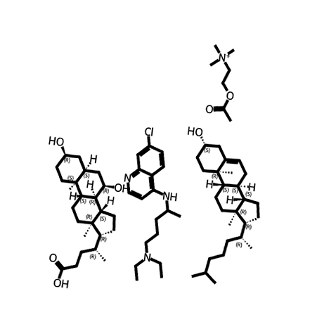 CC(=O)OCC[N+](C)(C)C.CC(C)CCC[C@@H](C)[C@H]1CC[C@H]2[C@@H]3CC=C4C[C@@H](O)CC[C@]4(C)[C@H]3CC[C@]12C.CCN(CC)CCCC(C)Nc1ccnc2cc(Cl)ccc12.C[C@H](CCC(=O)O)[C@H]1CC[C@H]2[C@@H]3[C@H](O)C[C@@H]4C[C@H](O)CC[C@]4(C)[C@H]3CC[C@]12C